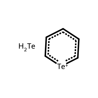 [TeH2].c1cc[te+]cc1